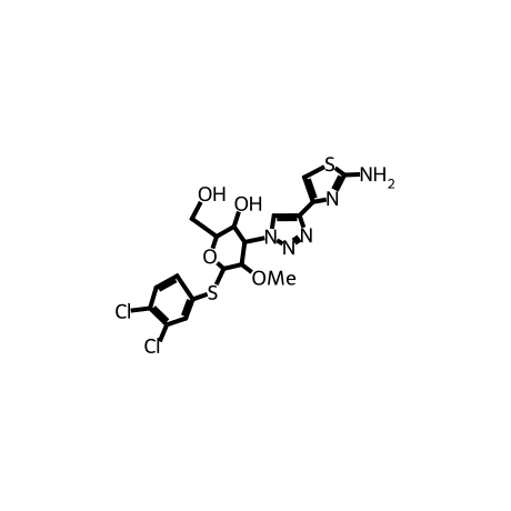 COC1C(Sc2ccc(Cl)c(Cl)c2)OC(CO)C(O)C1n1cc(-c2csc(N)n2)nn1